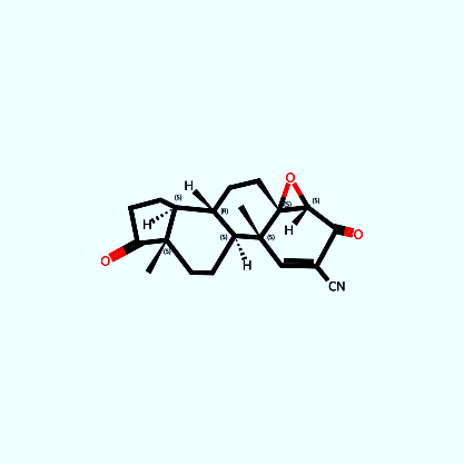 C[C@]12CC[C@H]3[C@@H](CC[C@@]45O[C@@H]4C(=O)C(C#N)=C[C@]35C)[C@@H]1CCC2=O